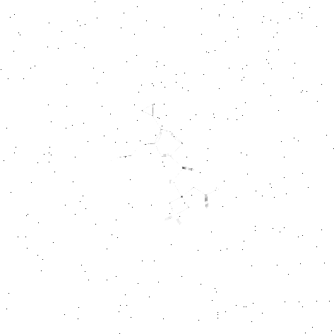 NC(=O)CC1(NC(=O)c2ccc(C3CC3)c(OCC(F)(F)F)c2)CS(=O)(=O)C1